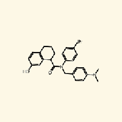 CC(C)c1ccc(N(Cc2ccc(N(C)C)cc2)C(=O)C2CCCc3ccc(O)cc32)cc1